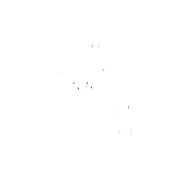 Cc1ccc(-n2nc(C)c(C=O)c2Cl)cc1Cl